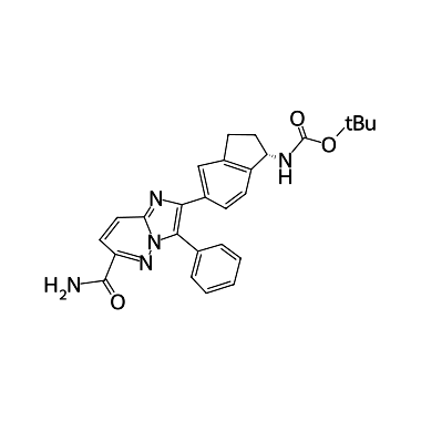 CC(C)(C)OC(=O)N[C@H]1CCc2cc(-c3nc4ccc(C(N)=O)nn4c3-c3ccccc3)ccc21